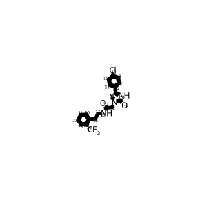 O=C(Cn1nc(-c2ccc(Cl)cc2)[nH]c1=O)NCCc1ccccc1C(F)(F)F